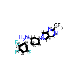 N[C@H]1C[C@@H](n2cc3cnc(C(F)(F)F)nc3c2)CC[C@@H]1c1cc(F)c(F)cc1F